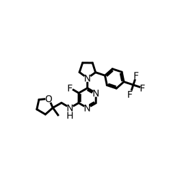 CC1(CNc2ncnc(N3CCCC3c3ccc(C(F)(F)F)cc3)c2F)CCCO1